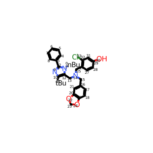 CCCCn1c(-c2ccccc2)nc(C(C)(C)C)c1CN(Cc1ccc2c(c1)OCO2)Cc1ccc(O)cc1Cl